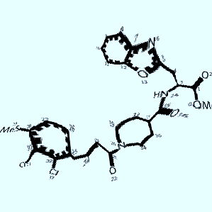 COC(=O)[C@H](Cc1nc2ccccc2o1)NC(=O)C1CCN(C(=O)/C=C/c2ccc(SC)c(Cl)c2Cl)CC1